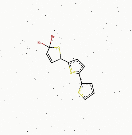 BrC1(Br)C=CC(c2ccc(-c3cccs3)s2)S1